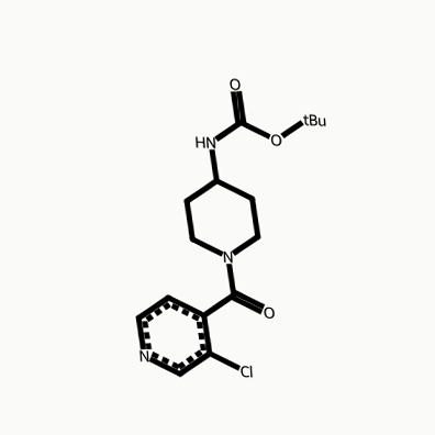 CC(C)(C)OC(=O)NC1CCN(C(=O)c2ccncc2Cl)CC1